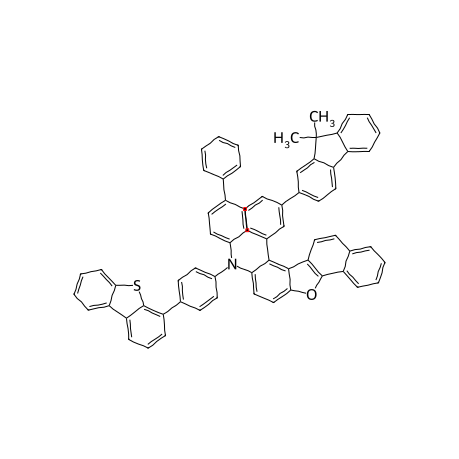 CC1(C)c2ccccc2-c2ccc(-c3cccc(-c4c(N(c5ccc(-c6ccccc6)cc5)c5ccc(-c6cccc7c6sc6ccccc67)cc5)ccc5oc6c7ccccc7ccc6c45)c3)cc21